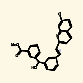 COC(=O)c1cccc(C(O)c2cccc(/C=C/c3ccc4ccc(Cl)cc4n3)c2)c1